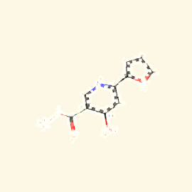 COC(=O)c1cnc(-c2ccco2)cc1O